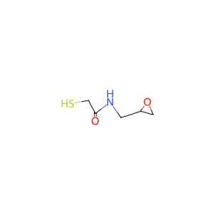 O=C(CS)NCC1CO1